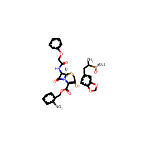 CCCCCCCC[S+]([O-])C(C)Cc1ccc2c(c1)OCO2.O=C(COc1ccccc1)NC1C(=O)N2C(C(=O)OCc3ccccc3[N+](=O)[O-])=C(O)CS[C@H]12